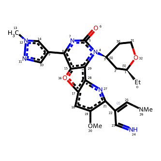 CC[C@H]1C[C@@H](n2c(=O)nc(-c3cnn(C)c3)c3oc4cc(OC)c(/C(C=N)=C/NC)nc4c32)CCO1